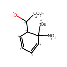 CC(C)(C)C1([N+](=O)[O-])C=CC=CC1C(O)C(=O)O